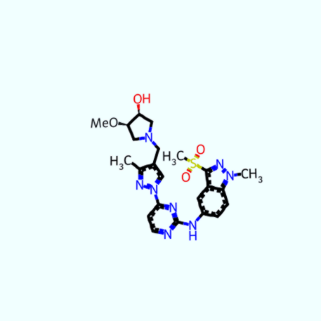 CO[C@@H]1CN(Cc2cn(-c3ccnc(Nc4ccc5c(c4)c(S(C)(=O)=O)nn5C)n3)nc2C)C[C@@H]1O